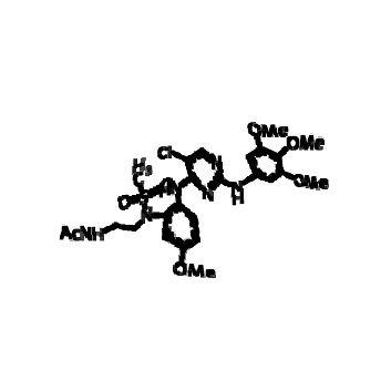 COc1ccc(Nc2nc(Nc3cc(OC)c(OC)c(OC)c3)ncc2Cl)c(N(CCNC(C)=O)S(C)(=O)=O)c1